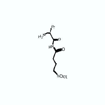 CCCCCCCCCCCC(=O)NC(=O)[C@@H](N)C(C)C